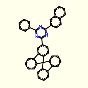 c1ccc(-c2nc(-c3ccc4c(c3)-c3ccccc3C43c4ccccc4-c4ccccc43)nc(-c3ccc4ccccc4c3)n2)cc1